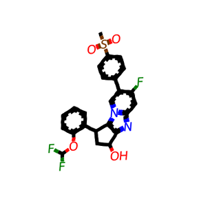 CS(=O)(=O)c1ccc(-c2cn3c4c(nc3cc2F)C(O)CC4c2ccccc2OC(F)F)cc1